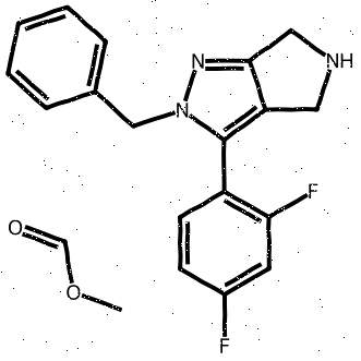 COC=O.Fc1ccc(-c2c3c(nn2Cc2ccccc2)CNC3)c(F)c1